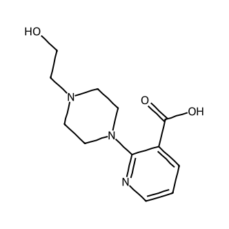 O=C(O)c1cccnc1N1CCN(CCO)CC1